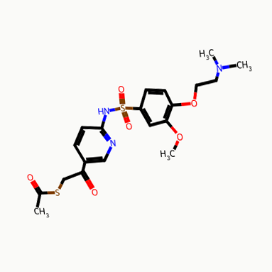 COc1cc(S(=O)(=O)Nc2ccc(C(=O)CSC(C)=O)cn2)ccc1OCCN(C)C